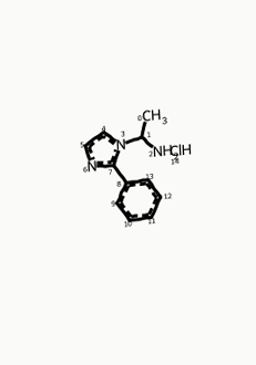 CC(N)n1ccnc1-c1ccccc1.Cl